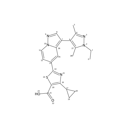 CCn1nc(C)c(-c2cnn3ccc(-c4nc(C5CC5)c(C(=O)O)s4)cc23)c1C